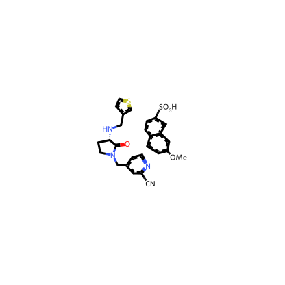 COc1ccc2ccc(S(=O)(=O)O)cc2c1.N#Cc1cc(CN2CC[C@H](NCc3ccsc3)C2=O)ccn1